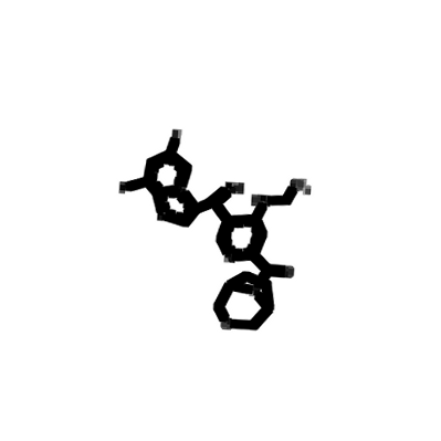 N=C(c1cnc(C(=O)N2C3CCC2COC3)cc1NCC(F)(F)F)c1cnc2c(F)cc(F)cn12